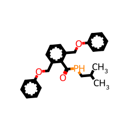 CC(C)CPC(=O)c1c(COc2ccccc2)cccc1COc1ccccc1